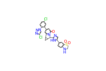 O=c1cc(-c2cc(Cl)ccc2-n2cc(Cl)nn2)cc2n1C(c1ncc(-c3ccc4c(c3)S(=O)(=O)CCN4)[nH]1)C1CC21